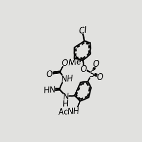 COC(=O)NC(=N)Nc1cc(S(=O)(=O)Oc2ccc(Cl)cc2)ccc1NC(C)=O